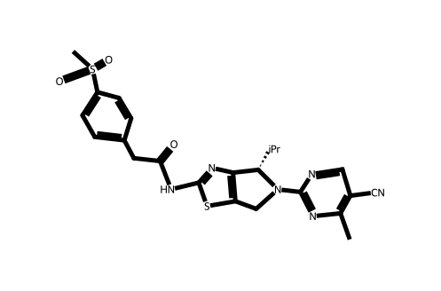 Cc1nc(N2Cc3sc(NC(=O)Cc4ccc(S(C)(=O)=O)cc4)nc3[C@@H]2C(C)C)ncc1C#N